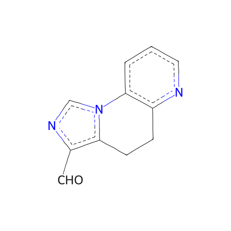 O=Cc1ncn2c1CCc1ncccc1-2